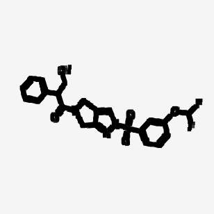 O=C(C(CO)c1ccccc1)N1Cc2cn(S(=O)(=O)c3cccc(OC(F)F)c3)nc2C1